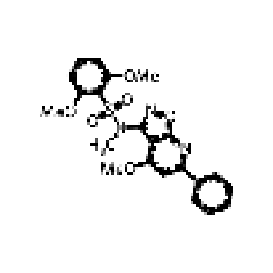 COc1cccc(OC)c1S(=O)(=O)N(C)c1noc2nc(-c3ccccc3)cc(OC)c12